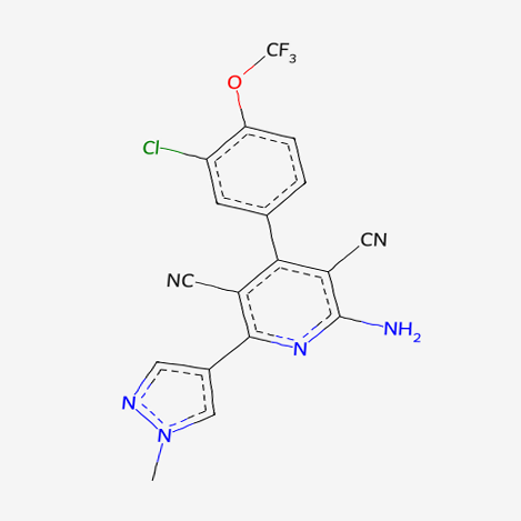 Cn1cc(-c2nc(N)c(C#N)c(-c3ccc(OC(F)(F)F)c(Cl)c3)c2C#N)cn1